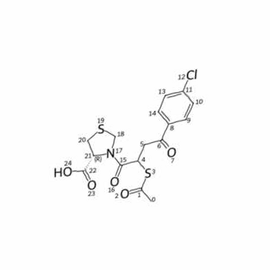 CC(=O)SC(CC(=O)c1ccc(Cl)cc1)C(=O)N1CSC[C@H]1C(=O)O